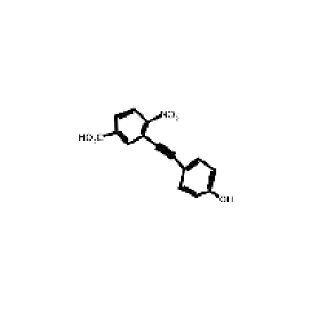 O=C(O)c1ccc([N+](=O)[O-])c(C#Cc2ccc(O)cc2)c1